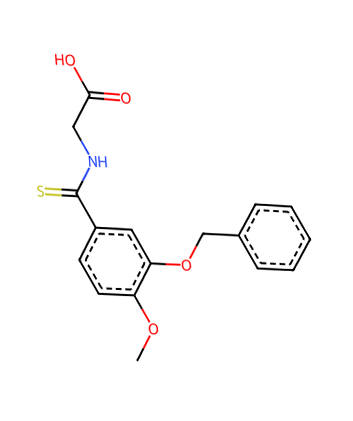 COc1ccc(C(=S)NCC(=O)O)cc1OCc1ccccc1